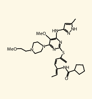 C=C(/C=C\C(=C/C)NC(=O)C1CCCC1)Sc1nc(Nc2cc(C)[nH]n2)c(OC)c(N2CCN(CCOC)CC2)n1